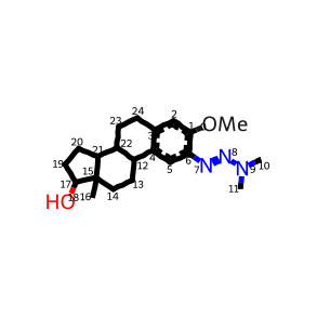 COc1cc2c(cc1/N=N/N(C)C)C1CCC3(C)C(O)CCC3C1CC2